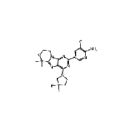 CC1(C)OCCn2c1nc1c(N3CCC(F)(F)C3)nc(-c3cnc(N)c(Cl)c3)nc12